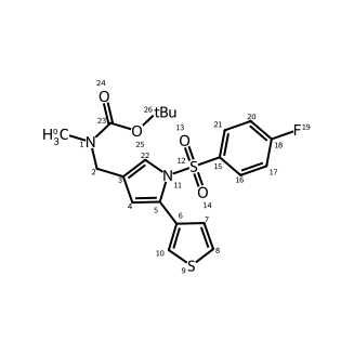 CN(Cc1cc(-c2ccsc2)n(S(=O)(=O)c2ccc(F)cc2)c1)C(=O)OC(C)(C)C